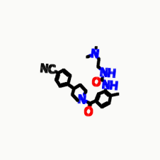 Cc1ccc(C(=O)N2CCC(c3ccc(C#N)cc3)CC2)cc1NC(=O)NCCN(C)C